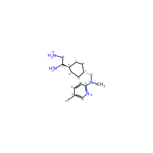 CN(C[C@H]1CC[C@H](C(N)CN)CC1)c1ccc(I)cn1